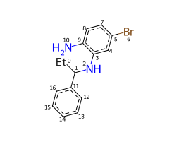 CCC(Nc1cc(Br)ccc1N)c1ccccc1